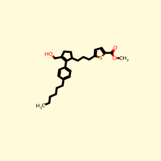 CCCCCCc1ccc(C2=C(CO)CCC2CCCc2ccc(C(=O)OC)s2)cc1